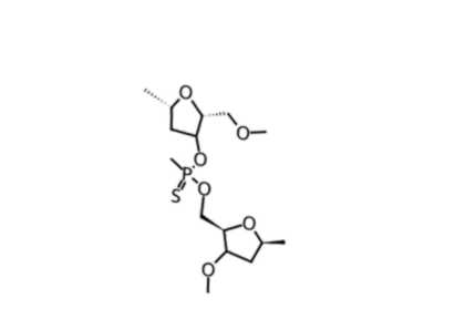 COC[C@H]1O[C@@H](C)CC1OP(C)(=S)OC[C@H]1O[C@@H](C)CC1OC